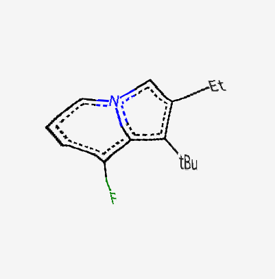 CCc1cn2cccc(F)c2c1C(C)(C)C